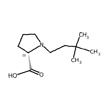 CC(C)(C)CCN1CCC[C@H]1C(=O)O